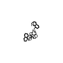 O=S(=O)(c1cccc2cccnc12)N1CCOC12CCN(Cc1cccc3cccnc13)CC2